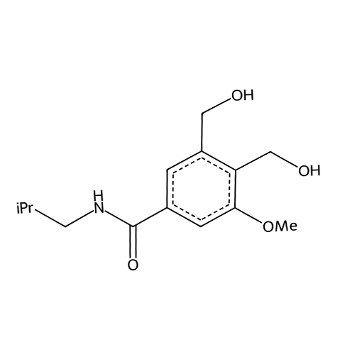 COc1cc(C(=O)NCC(C)C)cc(CO)c1CO